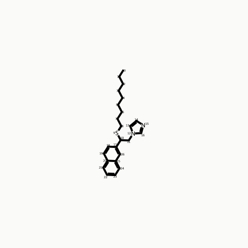 CCCCCCCCCSC(Cn1ccnc1)c1ccc2ccccc2c1